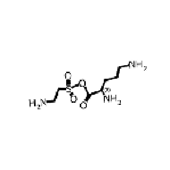 NCCC[C@@H](N)C(=O)OS(=O)(=O)CCN